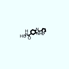 Cn1cccc1-c1nc2ccc(C(=O)NO)cc2[nH]1